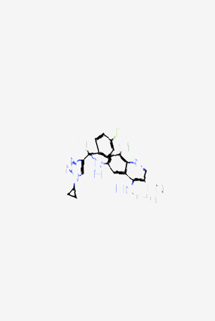 [2H]C(Nc1cc(Cl)c2ncc(C#N)c(NC(C)(C)C)c2c1)(c1ccc(F)cc1)c1cn(C2CC2)nn1